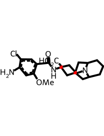 COc1cc(N)c(Cl)cc1C(=O)NCCC1CC2CCCC(C1)N2CCCC(=O)O